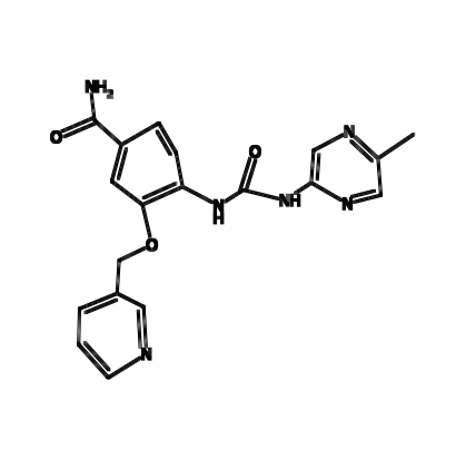 Cc1cnc(NC(=O)Nc2ccc(C(N)=O)cc2OCc2cccnc2)cn1